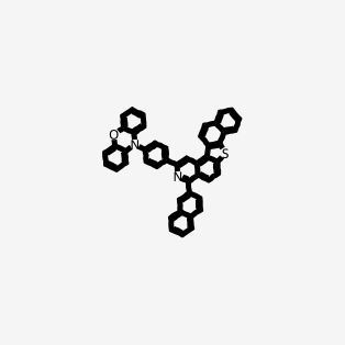 c1ccc2c(c1)Oc1ccccc1N2c1ccc(-c2cc3c(ccc4sc5c6ccccc6ccc5c43)c(-c3ccc4ccccc4c3)n2)cc1